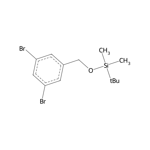 CC(C)(C)[Si](C)(C)OCc1cc(Br)cc(Br)c1